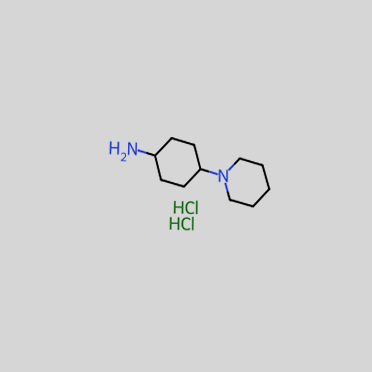 Cl.Cl.NC1CCC(N2CCCCC2)CC1